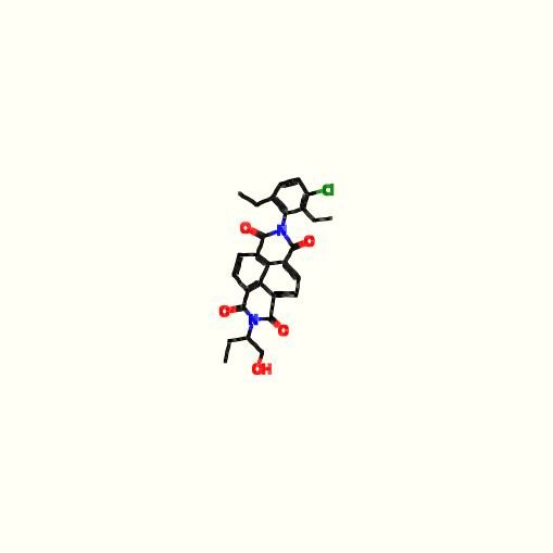 CCc1ccc(Cl)c(CC)c1N1C(=O)c2ccc3c4c(ccc(c24)C1=O)C(=O)N(C(CC)CO)C3=O